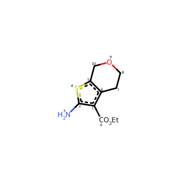 CCOC(=O)c1c(N)sc2c1CCOC2